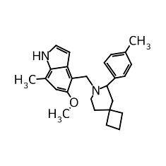 COc1cc(C)c2[nH]ccc2c1CN1CCC2(CCC2)CC1c1ccc(C)cc1